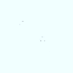 CCOc1cc2c(cc1OCC)C(=O)C(F)(CC1CCN(Cc3cccc(F)c3)CC1)C2